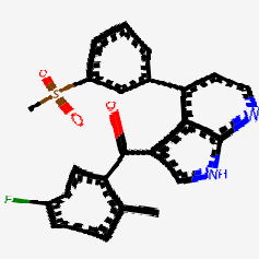 Cc1ccc(F)cc1C(=O)c1c[nH]c2nccc(-c3cccc(S(C)(=O)=O)c3)c12